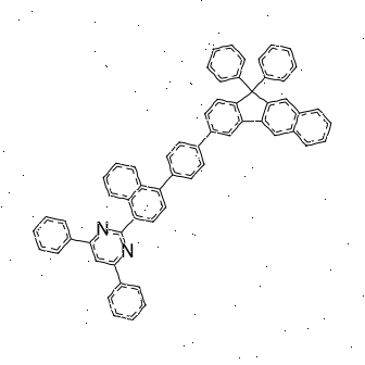 c1ccc(-c2cc(-c3ccccc3)nc(-c3ccc(-c4ccc(-c5ccc6c(c5)-c5cc7ccccc7cc5C6(c5ccccc5)c5ccccc5)cc4)c4ccccc34)n2)cc1